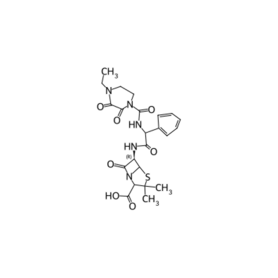 CCN1CCN(C(=O)NC(C(=O)N[C@@H]2C(=O)N3C2SC(C)(C)C3C(=O)O)c2ccccc2)C(=O)C1=O